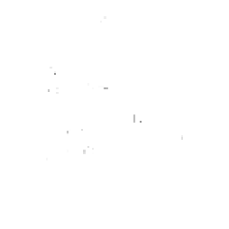 N#CC1(NC(=O)[C@H](CS(=O)(=O)Cc2ccccc2)OC(=O)N2CCOCC2)CCOCC1